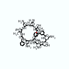 CC(C)[C@H](C)[C@@H]1NC(=O)[C@@H](Cc2ccccc2)NC(=O)[C@H](CCN)NC(=O)[C@@H](NC(=O)[C@@H](CN)NC(=O)[C@H](CO)NC(=O)[C@H](CCN)NC(=O)c2ccnc(-c3cccc(Cl)c3)c2)CCNC(=O)[C@H]([C@@H](C)O)NC(=O)[C@H](CCN)NC(=O)[C@H](CCN)NC1=O